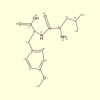 COc1ccc(CC(NC(=O)C(N)CC(C)C)C(=O)O)cc1